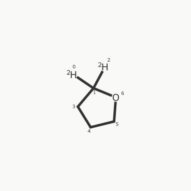 [2H]C1([2H])CCCO1